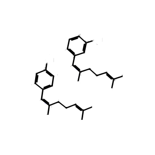 CC(C)=CCC/C(C)=C\c1ccc(O)cc1.CC(C)=CCC/C(C)=C\c1cccc(O)c1